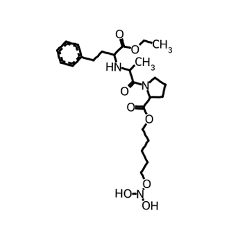 CCOC(=O)C(CCc1ccccc1)NC(C)C(=O)N1CCCC1C(=O)OCCCCCON(O)O